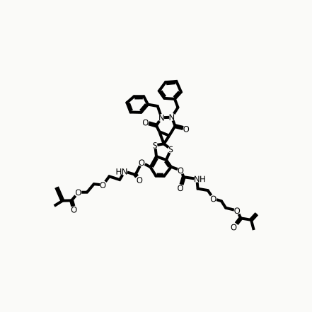 C=C(C)C(=O)OCCOCCNC(=O)Oc1ccc(OC(=O)NCCOCCOC(=O)C(=C)C)c2c1SC1(S2)C2C(=O)N(Cc3ccccc3)N(Cc3ccccc3)C(=O)C21